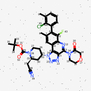 Cc1cccc(-c2c(C)cc3c(nc(N4CCOCC4=O)c4nnn([C@H]5CCN(C(=O)OC(C)(C)C)[C@H](CC#N)C5)c43)c2F)c1Cl